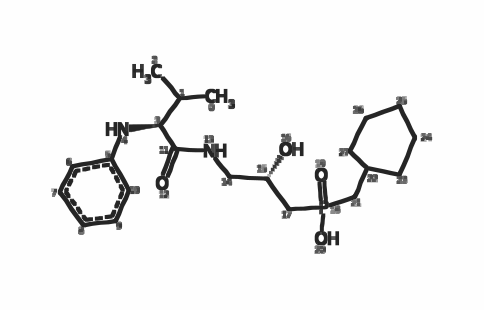 CC(C)[C@H](Nc1ccccc1)C(=O)NC[C@H](O)CP(=O)(O)CC1CCCCC1